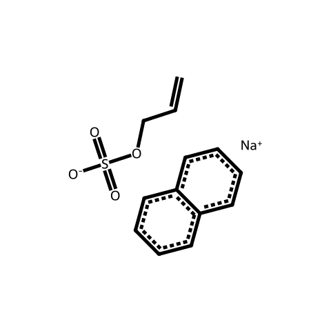 C=CCOS(=O)(=O)[O-].[Na+].c1ccc2ccccc2c1